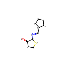 O=C1CCSC1N=CC1CCCC1